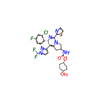 O=C(NC1CC2=C(c3ccn(C(F)F)n3)[C@H](c3ccc(F)cc3Cl)N=C(c3nccs3)N2C1)OC1CCC(O)CC1